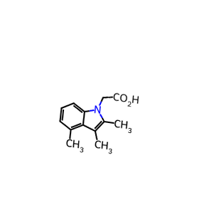 Cc1cccc2c1c(C)c(C)n2CC(=O)O